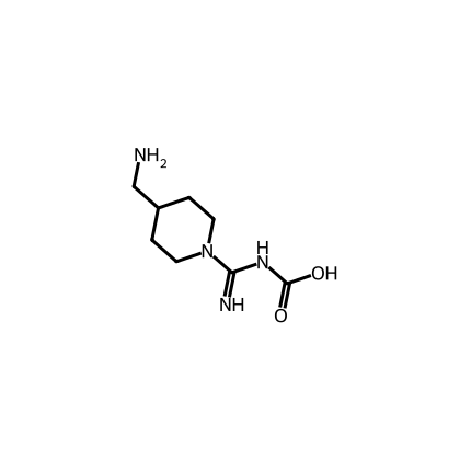 N=C(NC(=O)O)N1CCC(CN)CC1